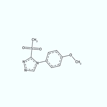 COc1ccc(-n2cnnc2S(C)(=O)=O)cc1